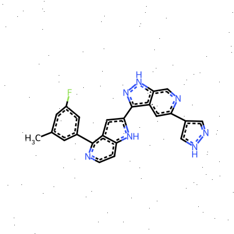 Cc1cc(F)cc(-c2nccc3[nH]c(-c4n[nH]c5cnc(-c6cn[nH]c6)cc45)cc23)c1